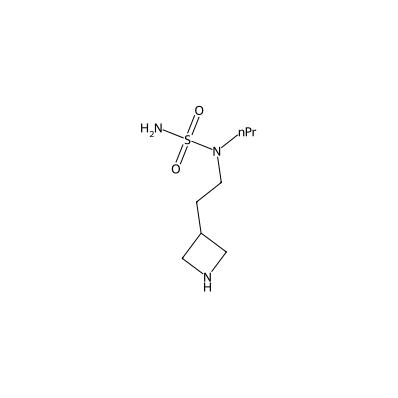 CCCN(CCC1CNC1)S(N)(=O)=O